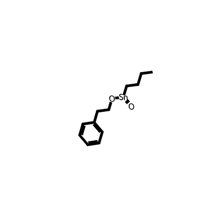 CCC[CH2][Sn](=[O])[O]CCc1ccccc1